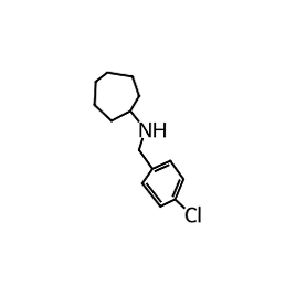 Clc1ccc(CNC2CCCCCC2)cc1